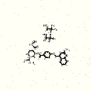 Cc1cc(COc2ccc(C(=O)N[C@@H]3CN(C(C)C)CC[C@@H]3C(=O)NO)cc2)c2ccccc2n1.O=C(O)C(F)(F)F.O=C(O)C(F)(F)F